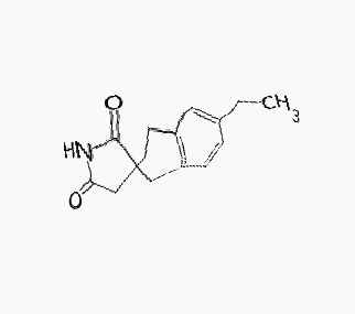 CCc1ccc2c(c1)CC1(CC(=O)NC1=O)C2